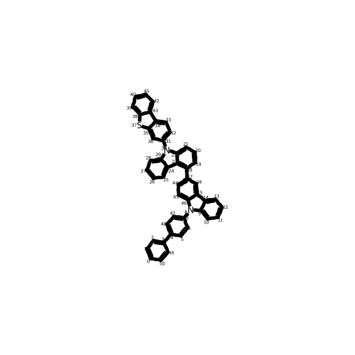 c1ccc(-c2ccc(-n3c4ccccc4c4cc(-c5cccc6c5c5ccccc5n6-c5ccc6c(c5)sc5ccccc56)ccc43)cc2)cc1